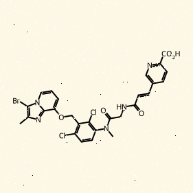 Cc1nc2c(OCc3c(Cl)ccc(N(C)C(=O)CNC(=O)C=Cc4ccc(C(=O)O)nc4)c3Cl)cccn2c1Br